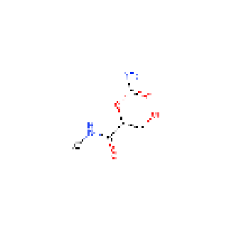 CNC(=O)C(CO)OC(N)=O